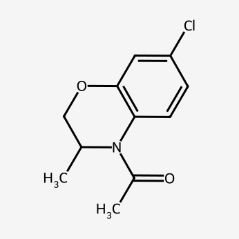 CC(=O)N1c2ccc(Cl)cc2OCC1C